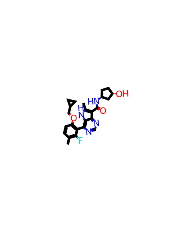 Cc1ccc(OCC2CC2)c(-c2ncnc3c(C(=O)N[C@H]4CC[C@H](O)C4)c(C)[nH]c23)c1F